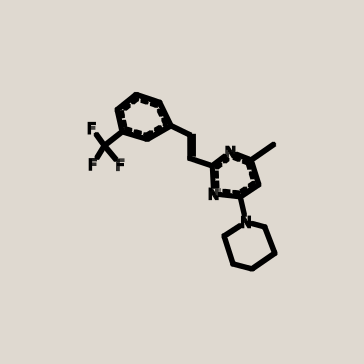 Cc1cc(N2CCCCC2)nc(/C=C/c2cccc(C(F)(F)F)c2)n1